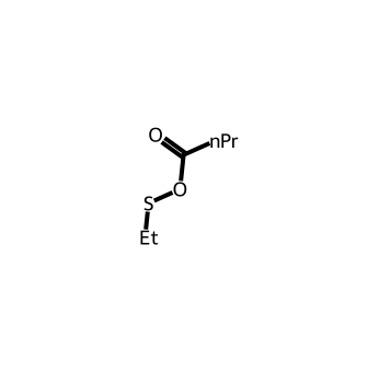 CCCC(=O)OSCC